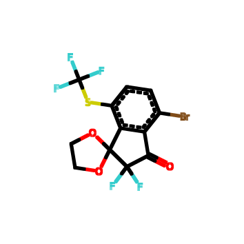 O=C1c2c(Br)ccc(SC(F)(F)F)c2C2(OCCO2)C1(F)F